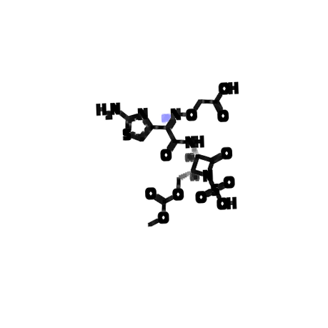 COC(=O)OC[C@@H]1[C@H](NC(=O)/C(=N\OCC(=O)O)c2csc(N)n2)C(=O)N1S(=O)(=O)O